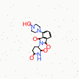 O=C1CCC(N2C(=O)c3cccc(N4CCN(O)CC4)c3C2=O)C(=O)N1